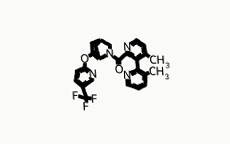 Cc1cccnc1-c1c(C)ccnc1C(=O)N1CC2CCC1C(Oc1ccc(C(F)(F)F)cn1)C2